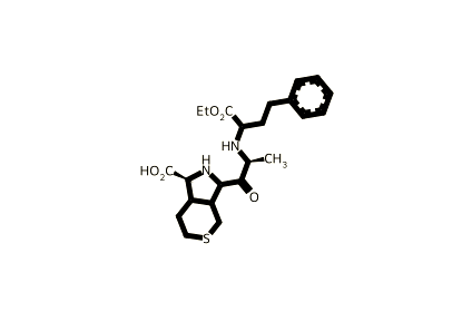 CCOC(=O)C(CCc1ccccc1)N[C@@H](C)C(=O)C1N[C@H](C(=O)O)C2CCSCC12